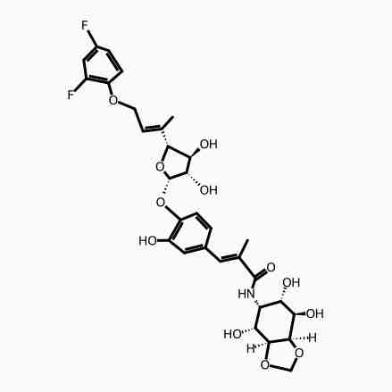 CC(=Cc1ccc(O[C@@H]2O[C@H](C(C)=CCOc3ccc(F)cc3F)[C@@H](O)[C@@H]2O)c(O)c1)C(=O)N[C@@H]1[C@H](O)[C@@H](O)[C@H]2OCO[C@H]2[C@@H]1O